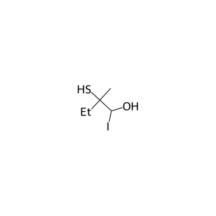 CCC(C)(S)C(O)I